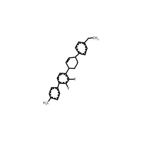 CCc1ccc(C2C=CC(c3ccc(-c4ccc(C)cc4)c(F)c3F)CC2)cc1